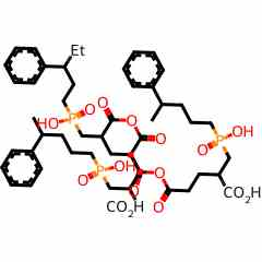 CCC(CCP(=O)(O)CC(CCC(=O)OC(=O)CCC(CP(=O)(O)CCCC(C)c1ccccc1)C(=O)O)C(=O)OC(=O)CCC(CP(=O)(O)CCCC(C)c1ccccc1)C(=O)O)c1ccccc1